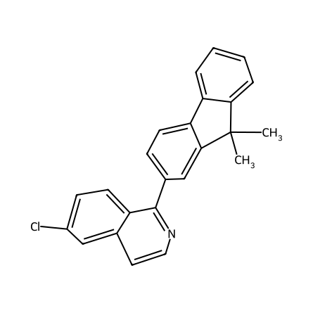 CC1(C)c2ccccc2-c2ccc(-c3nccc4cc(Cl)ccc34)cc21